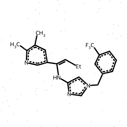 CC/C=C(\Nc1cn(Cc2cccc(C(F)(F)F)c2)cn1)c1cnc(C)c(C)c1